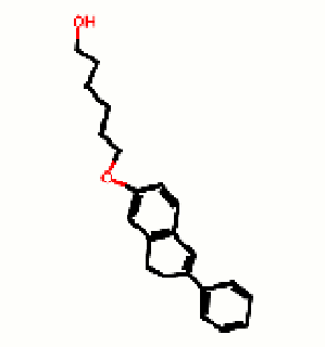 OCCCCCCOc1ccc2c(c1)CCC(c1ccccc1)=C2